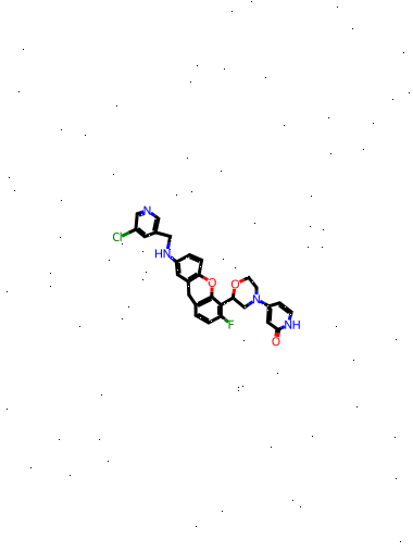 O=c1cc(N2CCOC(c3c(F)ccc4c3Oc3ccc(NCc5cncc(Cl)c5)cc3C4)C2)cc[nH]1